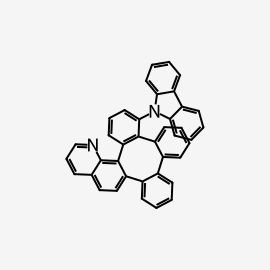 c1ccc2c(c1)-c1ccccc1-c1c(cccc1-n1c3ccccc3c3ccccc31)-c1c-2ccc2cccnc12